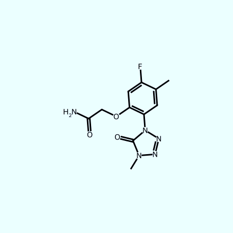 Cc1cc(-n2nnn(C)c2=O)c(OCC(N)=O)cc1F